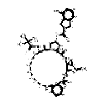 C=C[C@@H]1C[C@@]12NC(=O)[C@@H]1C[C@@H](OC(=O)N3Cc4cccc(F)c4C3)CN1C(=O)[C@@H](NC(=O)C(C)(C)N)CCCCCCCNc1ccccc1S(=O)(=O)NC2=O